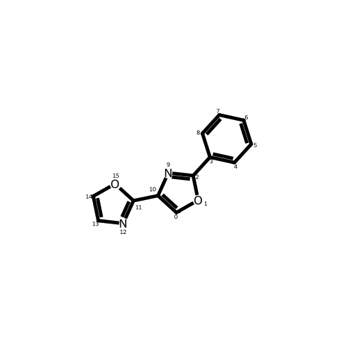 [c]1oc(-c2ccccc2)nc1-c1ncco1